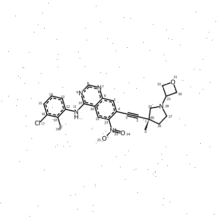 C[C@]1(C#Cc2cc3ncnc(Nc4cccc(Cl)c4F)c3cc2[N+](=O)[O-])CCN(C2COC2)C1